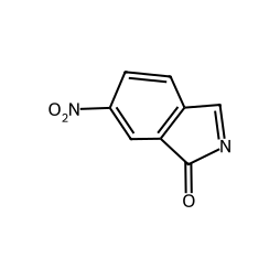 O=C1N=Cc2ccc([N+](=O)[O-])cc21